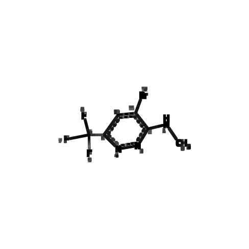 CNc1nnc(C(F)(F)F)cc1Br